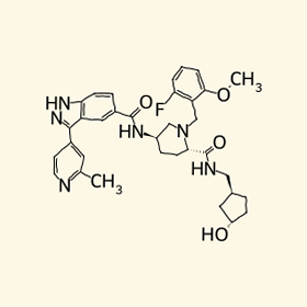 COc1cccc(F)c1CN1C[C@H](NC(=O)c2ccc3[nH]nc(-c4ccnc(C)c4)c3c2)CC[C@H]1C(=O)NC[C@H]1CC[C@H](O)C1